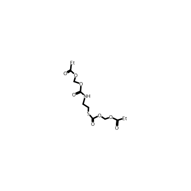 CCC(=O)OCOC(=O)NCCSC(=O)OCOC(=O)CC